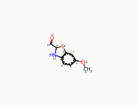 COc1ccc2c(c1)SC(C=O)N2